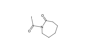 O=C(I)N1CCCCCC1=O